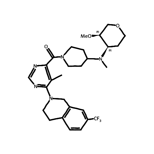 CO[C@H]1COCC[C@H]1N(C)C1CCN(C(=O)c2ncnc(N3CCc4ccc(C(F)(F)F)cc4C3)c2C)CC1